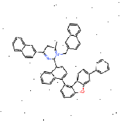 CC1=[N+](Cc2ccc3ccccc3c2)C(c2ccc(-c3cccc4oc5cc(-c6ccccc6)ccc5c34)c3ccccc23)N=C(c2ccc3ccccc3c2)C1